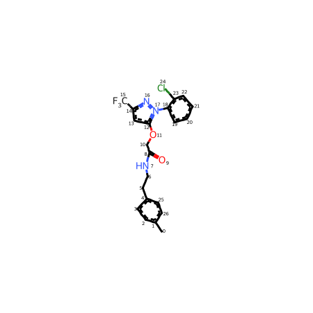 Cc1ccc(CCNC(=O)COc2cc(C(F)(F)F)nn2-c2ccccc2Cl)cc1